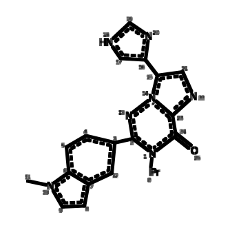 CC(C)n1c(-c2ccc3c(ccn3C)c2)nn2c(-c3c[nH]cn3)cnc2c1=O